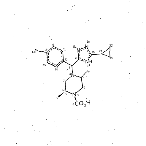 CC1CN(C(=O)O)[C@@H](C)CN1C(c1ccc(F)cc1)c1nnc(C2CC2)[nH]1